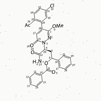 COc1nn([C@@H](CC(OC(=O)c2ccccc2)c2ccccc2)C(N)=O)c(=O)cc1-c1cc(Cl)ccc1C(C)=O